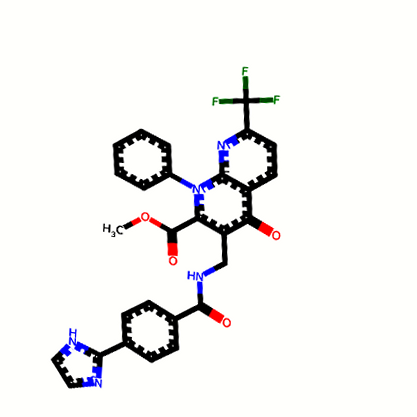 COC(=O)c1c(CNC(=O)c2ccc(-c3ncc[nH]3)cc2)c(=O)c2ccc(C(F)(F)F)nc2n1-c1ccccc1